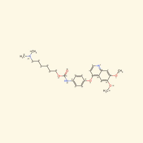 COc1cc2nccc(Oc3ccc(NC(=O)OCCCCCCN(C)C)cc3)c2cc1OC